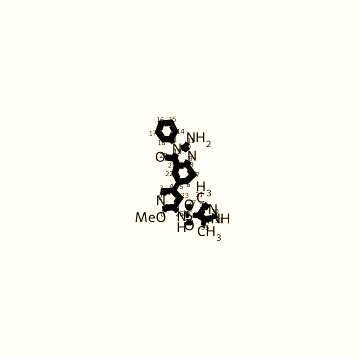 COc1ncc(-c2ccc3nc(N)n(-c4ccccc4)c(=O)c3c2)cc1NS(=O)(=O)c1c(C)n[nH]c1C